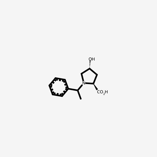 CC(c1ccccc1)N1C[C@H](O)C[C@H]1C(=O)O